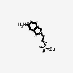 CC(C)(C)[Si](C)(C)OCCN1Cc2ccc(N)cc2C1